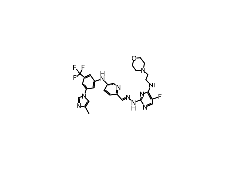 Cc1cn(-c2cc(Nc3ccc(/C=N/Nc4ncc(F)c(NCCN5CCOCC5)n4)nc3)cc(C(F)(F)F)c2)cn1